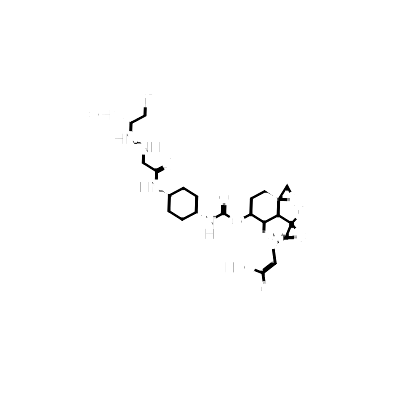 COC1C(OC(=O)N[C@H]2CC[C@H](NC(=O)CNN[C@H](C=O)CC(C)C)CC2)CC[C@]2(CO2)C1C1(C)O[C@@H]1CC=C(C)C